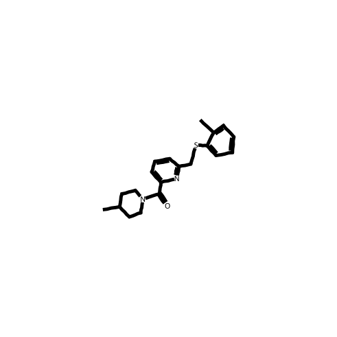 Cc1ccccc1SCc1cccc(C(=O)N2CCC(C)CC2)n1